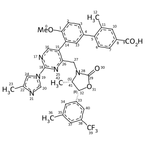 COc1ccc(-c2ccc(C(=O)O)cc2C)cc1-c1cnc(-n2cnc(C)c2)nc1CN1C(=O)O[C@H](c2cc(C)cc(C(F)(F)F)c2)[C@@H]1C